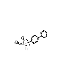 CCC(C)OC(=O)CC(C)(O)c1ccc(-c2ccccc2)cc1